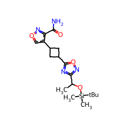 CC(O[Si](C)(C)C(C)(C)C)c1noc(C2CC(c3conc3C(N)=O)C2)n1